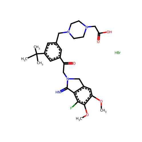 Br.COc1cc2c(c(F)c1OC)C(=N)N(CC(=O)c1cc(CN3CCN(CC(=O)O)CC3)cc(C(C)(C)C)c1)C2